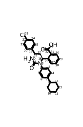 NC(=O)N(c1ccc(C2CCCCC2)cc1)[C@@H](CCc1ccc(Cl)cc1)c1ccccc1C(=O)O